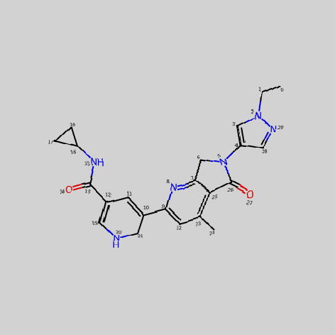 CCn1cc(N2Cc3nc(C4=CC(C(=O)NC5CC5)=CNC4)cc(C)c3C2=O)cn1